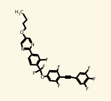 CCCCOc1cnc(-c2ccc(C(F)(F)Oc3cc(F)c(C#Cc4cc(F)c(F)c(F)c4)c(F)c3)c(F)c2)nc1